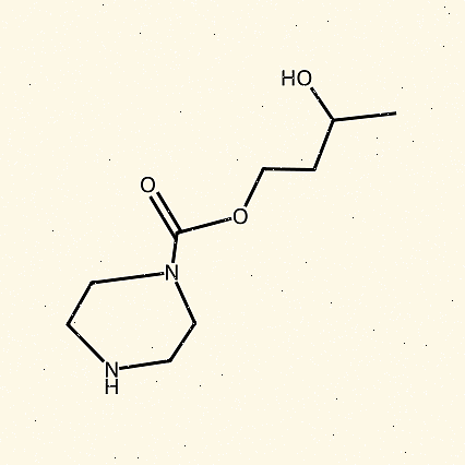 CC(O)CCOC(=O)N1CCNCC1